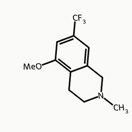 COc1cc(C(F)(F)F)cc2c1CCN(C)C2